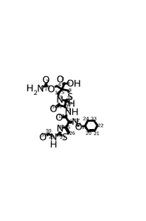 NC(=O)OCC1(C(=O)O)CS[C@@H]2C(NC(=O)C(=NOC3C=CCCC3)c3csc(NC=O)n3)C(=O)N2C1